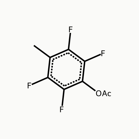 CC(=O)Oc1c(F)c(F)c(C)c(F)c1F